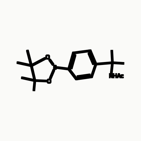 CC(=O)NC(C)(C)c1ccc(B2OC(C)(C)C(C)(C)O2)cc1